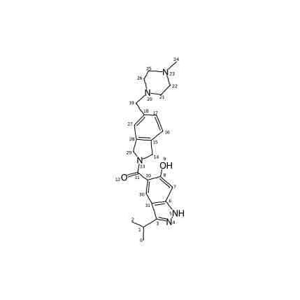 CC(C)c1n[nH]c2cc(O)c(C(=O)N3Cc4ccc(CN5CCN(C)CC5)cc4C3)cc12